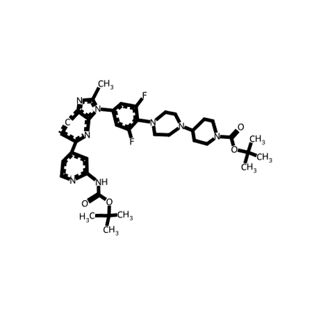 Cc1nc2ccc(-c3ccnc(NC(=O)OC(C)(C)C)c3)nc2n1-c1cc(F)c(N2CCN(C3CCN(C(=O)OC(C)(C)C)CC3)CC2)c(F)c1